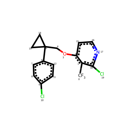 FC(F)(F)c1c(OCC2(c3ccc(Cl)cc3)CC2)ccnc1Cl